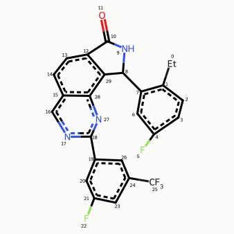 CCc1ccc(F)cc1C1NC(=O)c2ccc3cnc(-c4cc(F)cc(C(F)(F)F)c4)nc3c21